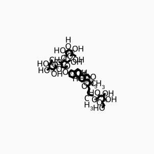 CC(CCC(=O)[C@@H](C)[C@H]1C(=O)C[C@H]2[C@@H]3CC=C4C[C@@H](O[C@@H]5OC(CO)[C@@H](O[C@@H]6OC(CO)[C@@H](O)C(O)[C@@H]6O)C(O)[C@@H]5O[C@@H]5OC(C)[C@H](O)C(O)[C@@H]5O)CC[C@]4(C)[C@H]3CC[C@]12C)CO[C@@H]1OC(CO)[C@@H](O)C(O)[C@@H]1O